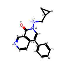 O=c1c2cnccc2c(-c2ccccc2)cn1NCC1CC1